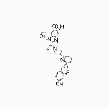 N#Cc1ccc(COc2cccc(C3CCN(C(CF)c4nc5ccc(C(=O)O)cc5n4CC4CCO4)CC3)n2)c(F)c1